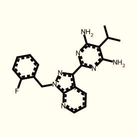 CC(C)c1c(N)nc(-c2nn(Cc3ccccc3F)c3ncccc23)nc1N